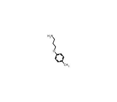 Cc1ccc(OCCCN)cc1